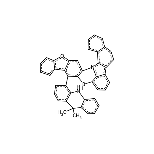 CC1(C)c2ccccc2Nc2c(-c3c4c(cc5oc6ccccc6c35)-n3c5c(cccc5c5ccc6ccccc6c53)B4)cccc21